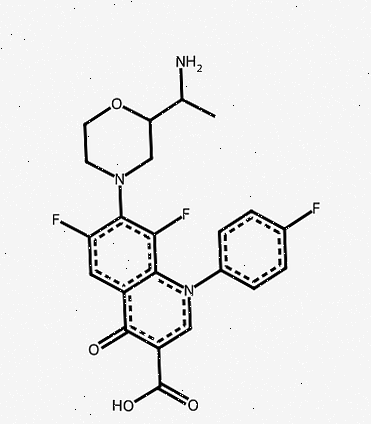 CC(N)C1CN(c2c(F)cc3c(=O)c(C(=O)O)cn(-c4ccc(F)cc4)c3c2F)CCO1